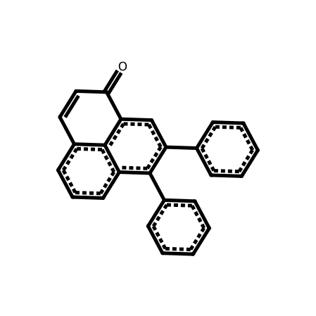 O=C1C=Cc2cccc3c(-c4ccccc4)c(-c4ccccc4)cc1c23